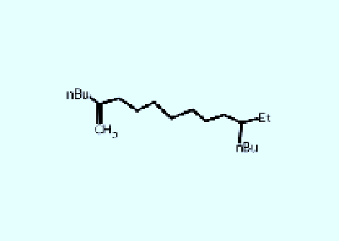 C=C(CCCC)CCCCCCCC(CC)CCCC